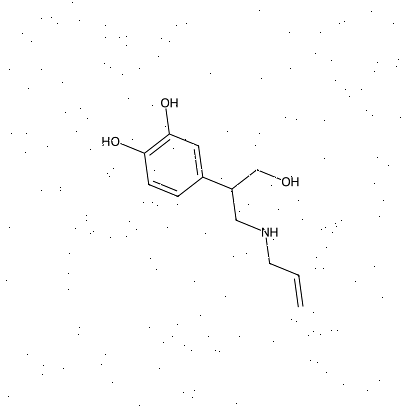 C=CCNCC(CO)c1ccc(O)c(O)c1